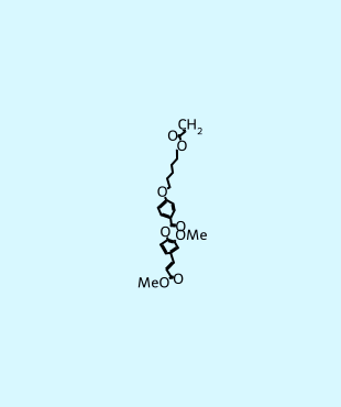 C=CC(=O)OCCCCCCOc1ccc(C(=O)Oc2ccc(/C=C/C(=O)OC)cc2OC)cc1